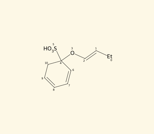 CCC=COC1(S(=O)(=O)O)C=CC=CC1